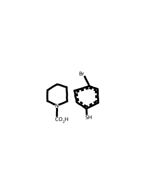 O=C(O)N1CCCCC1.Sc1ccc(Br)cc1